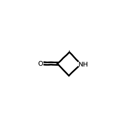 O=C1[CH]NC1